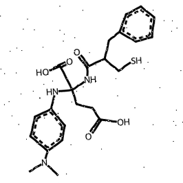 CN(C)c1ccc(NC(CCC(=O)O)(NC(=O)C(CS)Cc2ccccc2)C(=O)O)cc1